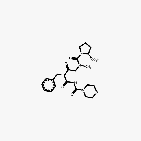 CN(CC(=O)[C@H](Cc1ccccc1)C(=O)NC(=O)N1CCOCC1)C(=O)N1CCC[C@H]1C(=O)O